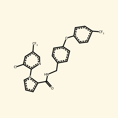 O=C(NCc1ccc(Oc2ccc(C(F)(F)F)cc2)cc1)c1cccn1-c1ncc(C(F)(F)F)cc1Cl